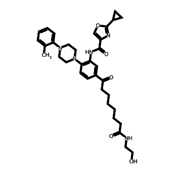 Cc1ccccc1N1CCN(c2ccc(C(=O)CCCCCCC(=O)NCCO)cc2NC(=O)c2coc(C3CC3)n2)CC1